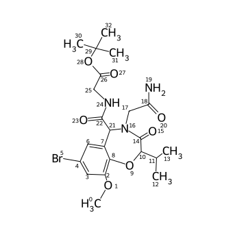 COc1cc(Br)cc2c1OC(C(C)C)C(=O)N(CC(N)=O)C2C(=O)NCC(=O)OC(C)(C)C